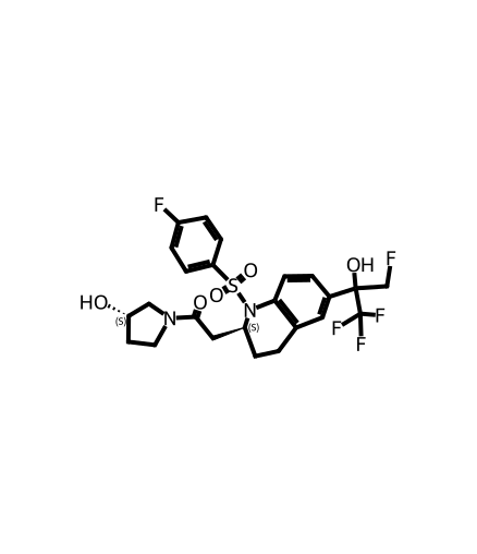 O=C(C[C@@H]1CCc2cc(C(O)(CF)C(F)(F)F)ccc2N1S(=O)(=O)c1ccc(F)cc1)N1CC[C@H](O)C1